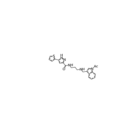 CC(=O)n1cc(CNCCCNC(=O)c2cc(-c3cccs3)[nH]n2)c2ccccc21